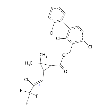 CC1(C)C(/C=C(\Cl)C(F)(F)F)C1C(=O)OCc1c(Cl)ccc(-c2ccccc2Cl)c1Cl